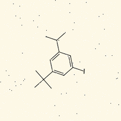 C[C](C)c1cc(I)cc(C(C)(C)C)c1